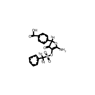 [2H]C1(c2ccc(C(=O)O)cc2)OC(N)=C(OS(=O)(=O)C([2H])([2H])c2ccccc2)C1=O